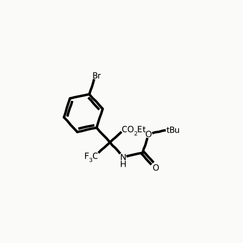 CCOC(=O)C(NC(=O)OC(C)(C)C)(c1cccc(Br)c1)C(F)(F)F